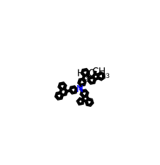 CC1(C)c2ccccc2-c2cccc(-c3ccccc3-c3ccc(N(c4ccc(-c5cc6ccccc6c6ccccc56)cc4)c4ccc5c(c4)C4(CCCC4)c4ccccc4-5)cc3)c21